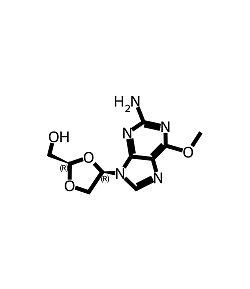 COc1nc(N)nc2c1ncn2[C@H]1CO[C@@H](CO)O1